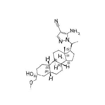 COC[C@@]1(O)CC[C@H]2[C@H](CC[C@@H]3[C@@H]2CC[C@]2(C)[C@@H](C(C)n4ncc(C#N)c4N)CC[C@@H]32)C1